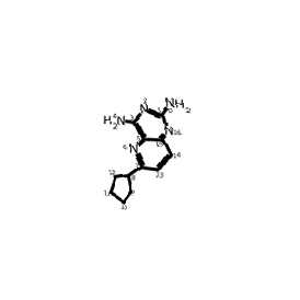 Nc1nc(N)c2nc(C3CCCC3)ccc2n1